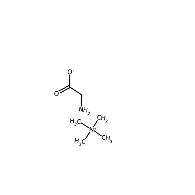 C[N+](C)(C)C.NCC(=O)[O-]